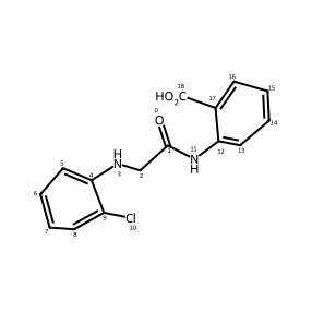 O=C(CNc1ccccc1Cl)Nc1ccccc1C(=O)O